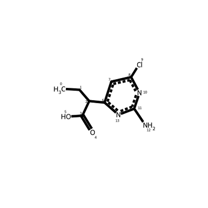 CCC(C(=O)O)c1cc(Cl)nc(N)n1